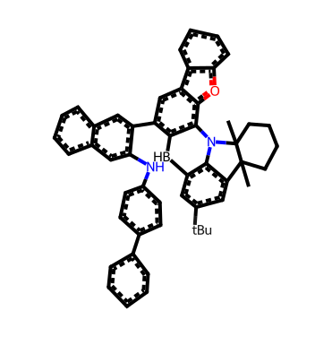 CC(C)(C)c1cc2c3c(c1)C1(C)CCCCC1(C)N3c1c(c(-c3cc4ccccc4cc3Nc3ccc(-c4ccccc4)cc3)cc3c1oc1ccccc13)B2